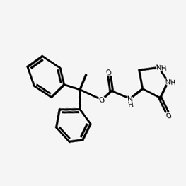 CC(OC(=O)NC1CNNC1=O)(c1ccccc1)c1ccccc1